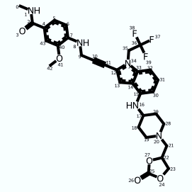 CNC(=O)c1ccc(NCC#Cc2cc3c(NC4CCN(CC5COC(=O)O5)CC4)cccc3n2CC(F)(F)F)c(OC)c1